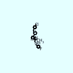 Cc1nn2c(C3CCCN(Cc4ccc(Cl)cc4)C3)ccnc2c1CNCc1ccc(F)cc1